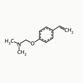 C=Cc1ccc(OCN(C)C)cc1